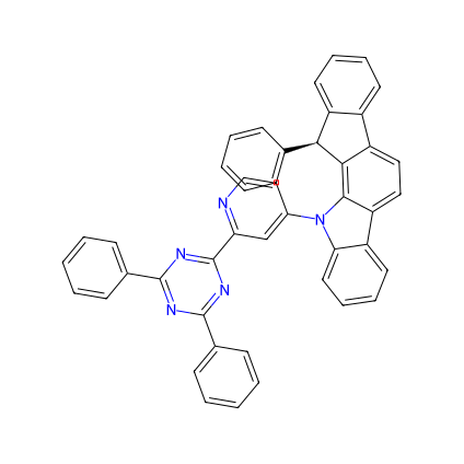 c1ccc(-c2nc(-c3ccccc3)nc(-c3cc(-n4c5ccccc5c5ccc6c(c54)[C@@H](c4ccccc4)c4ccccc4-6)ccn3)n2)cc1